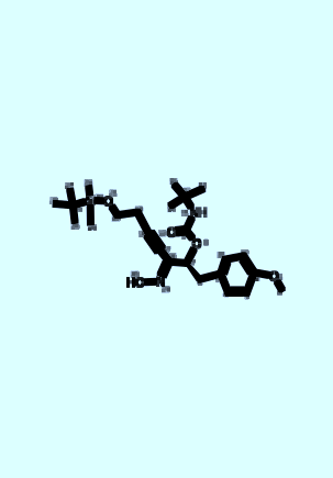 COc1ccc(C[C@H](OC(=O)NC(C)(C)C)C(C#CCCO[Si](C)(C)C(C)(C)C)=NO)cc1